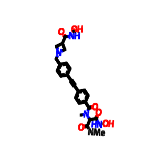 CNC(=O)C(C(=O)NO)N(C)C(=O)c1ccc(C#Cc2ccc(CN3CC(C(=O)NO)C3)cc2)cc1